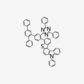 c1ccc(-c2ccc(-c3ccccc3)c(-c3ccc(-c4cccc5c4sc4ccc6c(c7ccccc7n6-c6ccccc6)c45)c(-c4nc(-c5ccccc5)nc(-c5ccccc5)n4)c3)c2)cc1